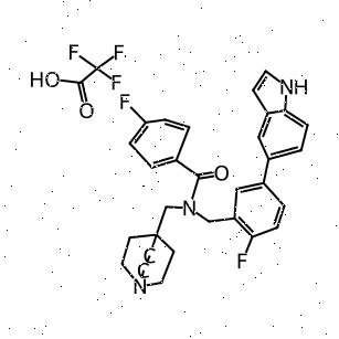 O=C(O)C(F)(F)F.O=C(c1ccc(F)cc1)N(Cc1cc(-c2ccc3[nH]ccc3c2)ccc1F)CC12CCN(CC1)CC2